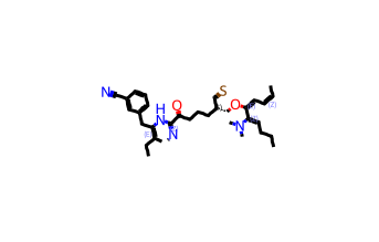 C\C=C/C=C(OC[C@@H](C=S)CCCC(=O)/C(=N/C)N/C(Cc1cccc(C#N)c1)=C(\C)CC)\C(=C\CCC)N(C)C